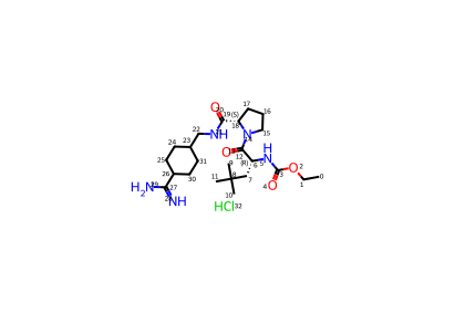 CCOC(=O)N[C@H](CC(C)(C)C)C(=O)N1CCC[C@H]1C(=O)NCC1CCC(C(=N)N)CC1.Cl